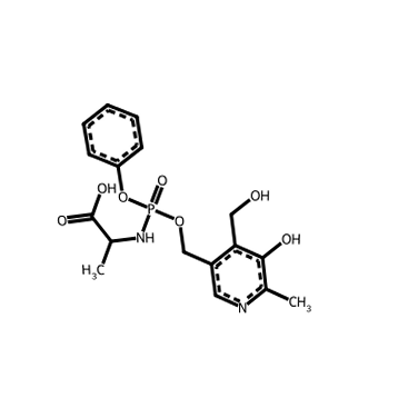 Cc1ncc(COP(=O)(NC(C)C(=O)O)Oc2ccccc2)c(CO)c1O